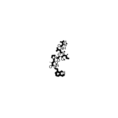 CC[C@H](C)C([C@@H](CC(=O)N1CCC[C@H]1[C@H](OC)[C@@H](C)C(=O)NCCc1cccc2ccncc12)OC)N(C)C(=O)[C@@H](NC(=O)[C@@H](NC)C(C)C)C(C)C